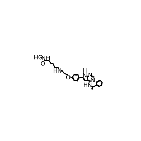 C=C(Nc1ncnc2[nH]c(-c3ccc(OCCCNCCCCCC(=O)NO)cc3)cc12)c1ccccc1